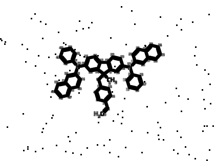 C=Cc1ccc(CC2(C)c3cc(N(c4ccccc4)c4ccc5ccccc5c4)ccc3-c3ccc(N(c4ccccc4)c4ccc5ccccc5c4)cc32)cc1